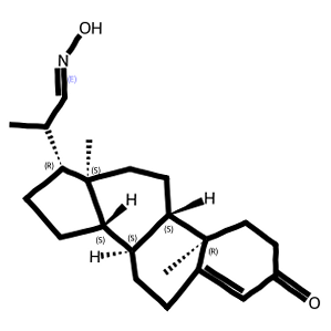 CC(/C=N/O)[C@H]1CC[C@H]2[C@@H]3CCC4=CC(=O)CC[C@]4(C)[C@H]3CC[C@]12C